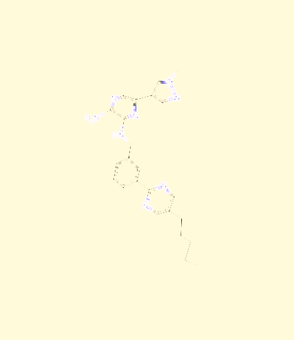 Cn1cc(-c2cnc(N)c(NCc3cccc(-c4ncc(CCCCO)cn4)c3)n2)cn1